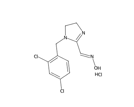 Cl.ON=CC1=NCCN1Cc1ccc(Cl)cc1Cl